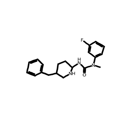 CN(C(=O)NC1CCC(Cc2ccccc2)CN1)c1cccc(F)c1